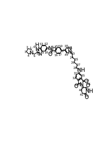 C[C@H]1CCCN1Cc1nc2cc(NC(=O)c3ccc(-c4cnn(CCCCCCNc5ccc6c(c5)C(=O)N(C5CCC(=O)NC5=O)C6=O)c4)cc3)ccc2[nH]1